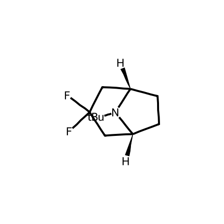 CC(C)(C)N1[C@@H]2CC[C@H]1CC(F)(F)C2